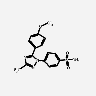 NS(=O)(=O)c1ccc(-n2nc(C(F)(F)F)nc2-c2ccc(OC(F)(F)F)cc2)cc1